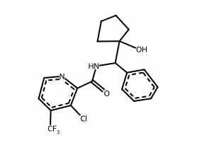 O=C(NC(c1ccccc1)C1(O)CCCC1)c1nccc(C(F)(F)F)c1Cl